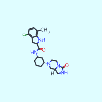 Cc1ccc(F)c2c1NC(C(=O)N[C@@H]1CCC[C@@H](N3CCN4C(=O)NC[C@H]4C3)C1)C2